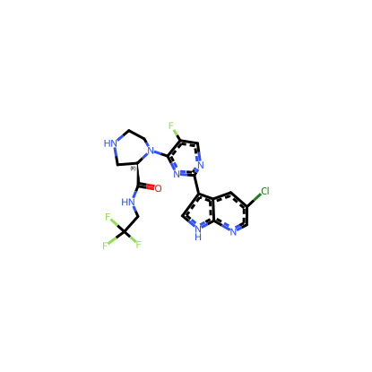 O=C(NCC(F)(F)F)[C@H]1CNCCN1c1nc(-c2c[nH]c3ncc(Cl)cc23)ncc1F